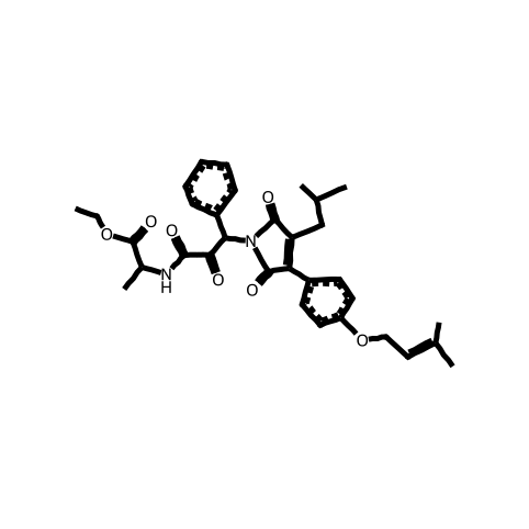 CCOC(=O)C(C)NC(=O)C(=O)C(c1ccccc1)N1C(=O)C(CC(C)C)=C(c2ccc(OCC=C(C)C)cc2)C1=O